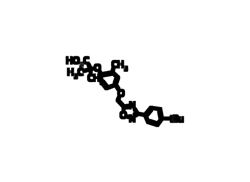 Cc1cc(OCc2nc(-c3ccc(C(C)(C)C)cc3)no2)ccc1OC(C)(C)C(=O)O